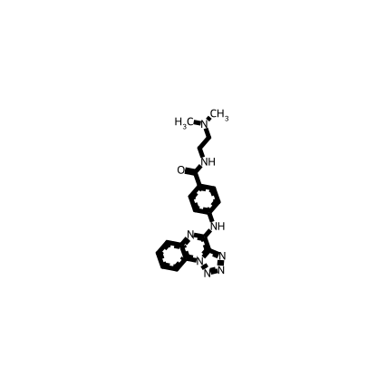 CN(C)CCNC(=O)c1ccc(Nc2nc3ccccc3n3nnnc23)cc1